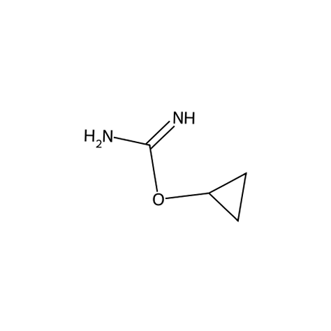 N=C(N)OC1CC1